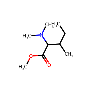 CCC(C)C(C(=O)OC)N(C)C